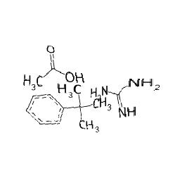 CC(=O)O.CC(C)(C)c1ccccc1.N=C(N)N